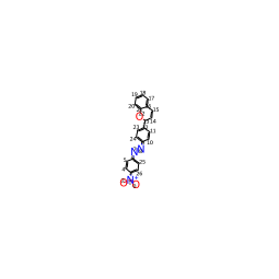 O=[N+]([O-])c1ccc(N=Nc2ccc(C3C=Cc4ccccc4O3)cc2)cc1